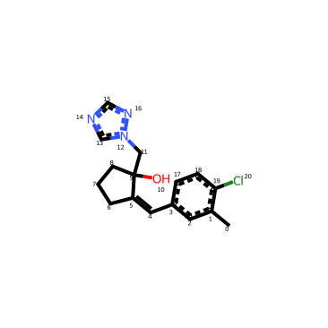 Cc1cc(C=C2CCCC2(O)Cn2cncn2)ccc1Cl